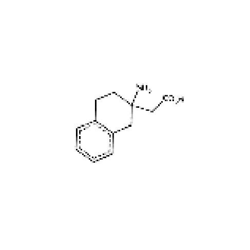 NC1(CC(=O)O)CCc2ccccc2C1